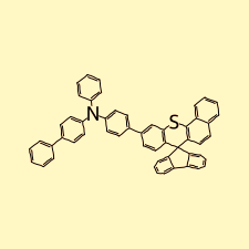 c1ccc(-c2ccc(N(c3ccccc3)c3ccc(-c4ccc5c(c4)Sc4c(ccc6ccccc46)C54c5ccccc5-c5ccccc54)cc3)cc2)cc1